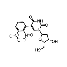 O=c1[nH]c(=O)n([C@H]2C[C@H](O)[C@@H](CS)O2)cc1-c1cccc([N+](=O)[O-])c1[N+](=O)[O-]